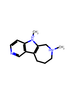 [CH2-][NH+]1CCCC2=C(C1)[NH+]([CH2-])c1ccncc12